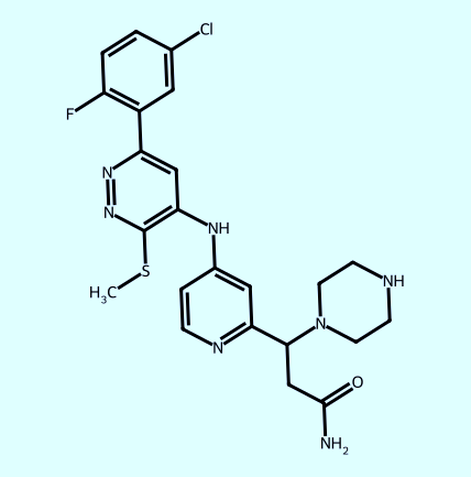 CSc1nnc(-c2cc(Cl)ccc2F)cc1Nc1ccnc(C(CC(N)=O)N2CCNCC2)c1